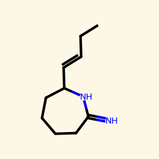 CCC=CC1CCCCC(=N)N1